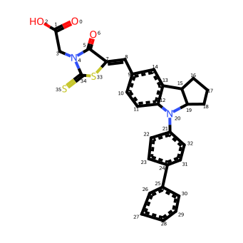 O=C(O)CN1C(=O)/C(=C/c2ccc3c(c2)C2CCCC2N3c2ccc(-c3ccccc3)cc2)SC1=S